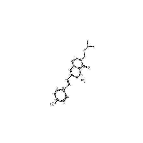 CN(C)CCn1ncc2cc(/C=C/c3ccc(O)cc3)ccc2c1=O.Cl